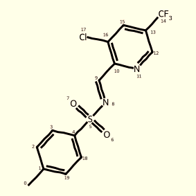 Cc1ccc(S(=O)(=O)N=Cc2ncc(C(F)(F)F)cc2Cl)cc1